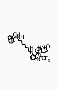 CC(NCCCCCCCNc1cccc2nc(C(F)(F)F)n([C@H]3CCC(=O)NC3=O)c(=O)c12)C12CC3CC(CC(C3)C1)C2